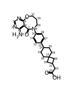 Nc1ncnc2c1C(=O)N(c1ccc(C3CCC4(CC3)CC(CC(=O)O)C4)cc1)CCCO2